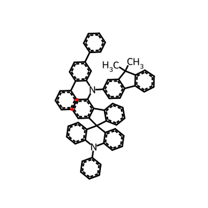 CC1(C)c2ccccc2-c2ccc(N(c3cc(-c4ccccc4)ccc3-c3ccccc3)c3cccc4c3-c3ccccc3C43c4ccccc4N(c4ccccc4)c4ccccc43)cc21